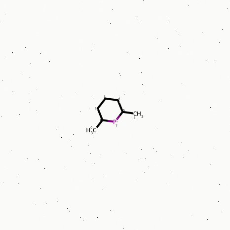 CC1CCCC(C)[P]1